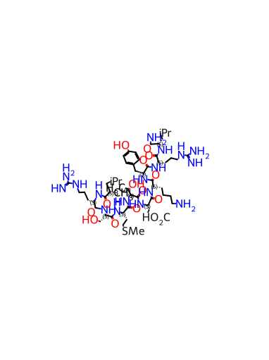 CSCC[C@H](NC(=O)[C@H](CO)NC(=O)[C@H](CCCNC(=N)N)NC(=O)[C@@H](C)CC(C)C)C(=O)N[C@H](C(=O)N[C@@H](CC(=O)O)C(=O)N[C@@H](CCCCN)C(=O)N[C@@H](Cc1ccc(O)cc1)C(=O)N[C@@H](CCCNC(=N)N)C(=O)N[C@@H](CC(C)C)C(N)=O)[C@@H](C)O